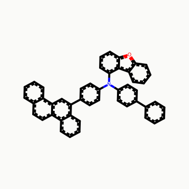 c1ccc(-c2ccc(N(c3ccc(-c4cc5c6ccccc6ccc5c5ccccc45)cc3)c3cccc4oc5ccccc5c34)cc2)cc1